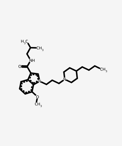 CCCCC1CCN(CCCn2cc(C(=O)NCC(C)C)c3cccc(OC)c32)CC1